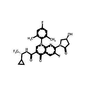 Cc1cc(F)cc(C)c1-n1cc(C(=O)N[C@H](C2CC2)C(F)(F)F)c(=O)c2cc(F)c(N3C[C@@H](O)CC3=O)nc21